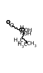 CC(C)=CCC[C@@H](C)CCC=C(O)[C@@H]1[C@@H]2CC(CCCCCOCc3ccccc3)=C[C@@H]2C[C@H]1O